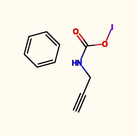 C#CCNC(=O)OI.c1ccccc1